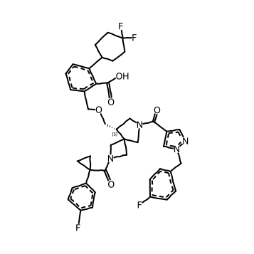 O=C(O)c1c(COC[C@@H]2CN(C(=O)c3cnn(Cc4ccc(F)cc4)c3)CC23CN(C(=O)C2(c4ccc(F)cc4)CC2)C3)cccc1C1CCC(F)(F)CC1